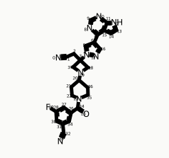 N#CCC1(n2cc(-c3ncnc4[nH]ccc34)cn2)CN(C2CCN(C(=O)c3cc(F)cc(C#N)c3)CC2)C1